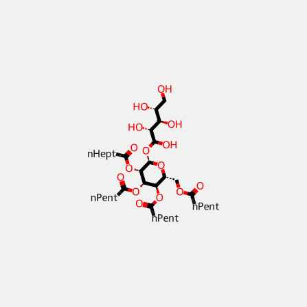 CCCCCCCC(=O)O[C@@H]1[C@H](OC(O)[C@H](O)[C@H](O)[C@H](O)CO)O[C@H](COC(=O)CCCCC)[C@@H](OC(=O)CCCCC)[C@@H]1OC(=O)CCCCC